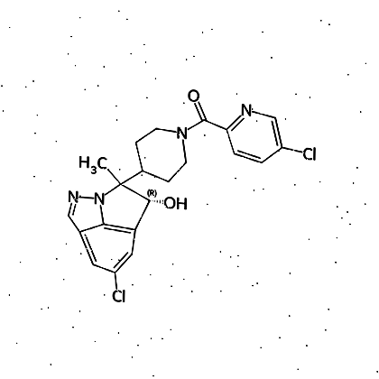 CC1(C2CCN(C(=O)c3ccc(Cl)cn3)CC2)[C@H](O)c2cc(Cl)cc3cnn1c23